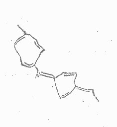 CC=C1C=CC(=Nc2ccc(C)cc2)C=C1